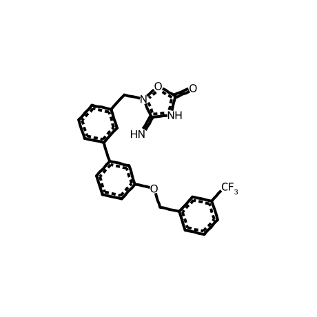 N=c1[nH]c(=O)on1Cc1cccc(-c2cccc(OCc3cccc(C(F)(F)F)c3)c2)c1